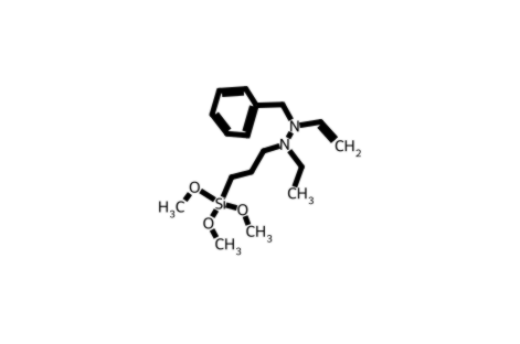 C=CN(Cc1ccccc1)N(CC)CCC[Si](OC)(OC)OC